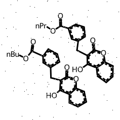 CCCCOC(=O)c1cccc(Cc2c(O)c3ccccc3oc2=O)c1.CCCOC(=O)c1cccc(Cc2c(O)c3ccccc3oc2=O)c1